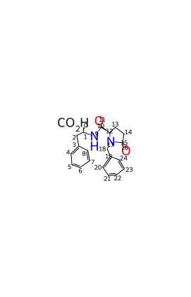 O=C(O)[C@H](Cc1ccccc1)NC(=O)[C@H]1CCC(=O)N1Cc1ccccc1